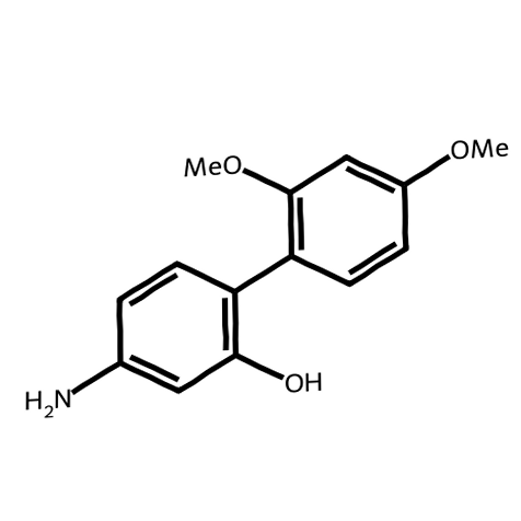 COc1ccc(-c2ccc(N)cc2O)c(OC)c1